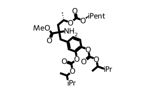 CCC[C@H](C)OC(=O)O[C@@H](C)CC(N)(Cc1ccc(OC(=O)OC(C)C(C)C)c(OC(=O)OC(C)C(C)C)c1)C(=O)OC